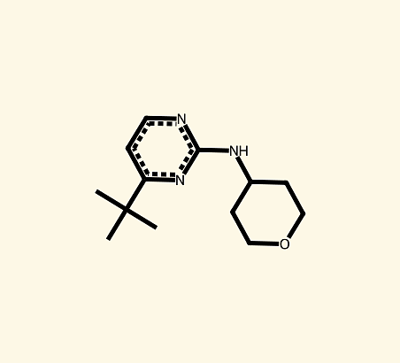 CC(C)(C)c1ccnc(NC2CCOCC2)n1